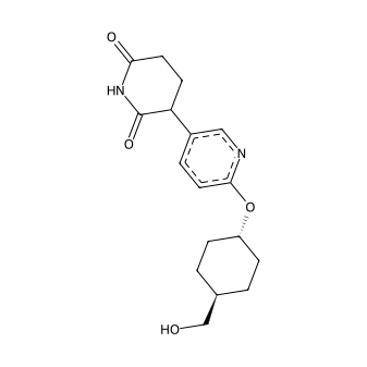 O=C1CCC(c2ccc(O[C@H]3CC[C@H](CO)CC3)nc2)C(=O)N1